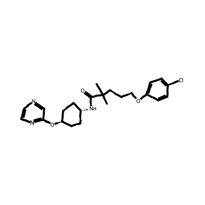 CC(C)(CCCOc1ccc(Cl)cc1)C(=O)N[C@H]1CC[C@H](Oc2cnccn2)CC1